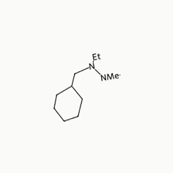 CCN(CC1CCCCC1)[N]C